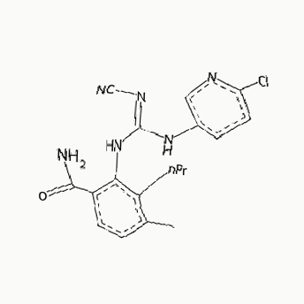 CCCc1c(C)ccc(C(N)=O)c1N/C(=N\C#N)Nc1ccc(Cl)nc1